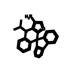 CC(C)N1c2ccccc2C2(c3ccccc3-c3ccccc32)c2occ(N)c21